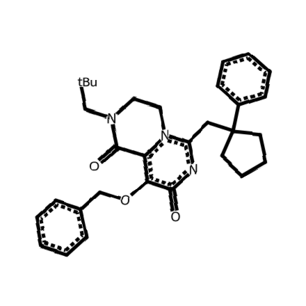 CC(C)(C)CN1CCn2c(CC3(c4ccccc4)CCCC3)nc(=O)c(OCc3ccccc3)c2C1=O